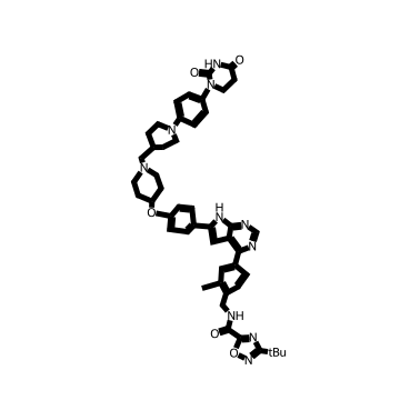 Cc1cc(-c2ncnc3[nH]c(-c4ccc(OC5CCN(CC6CCN(c7ccc(N8CCC(=O)NC8=O)cc7)CC6)CC5)cc4)cc23)ccc1CNC(=O)c1nc(C(C)(C)C)no1